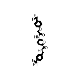 O=C(COc1ccc(C(F)(F)F)cc1)N[C@H]1CC[C@H](C(=O)NCc2ccc(C(F)(F)F)cc2)OC1